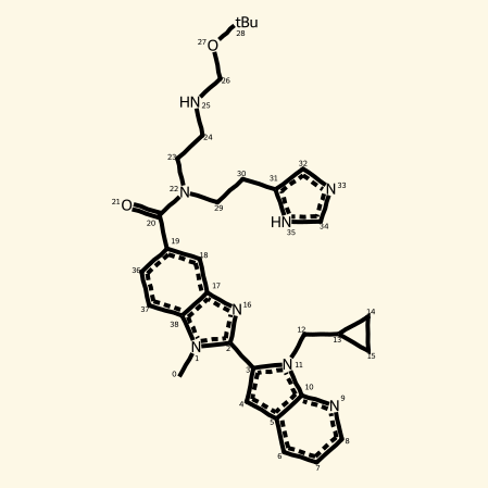 Cn1c(-c2cc3cccnc3n2CC2CC2)nc2cc(C(=O)N(CCNCOC(C)(C)C)CCc3cnc[nH]3)ccc21